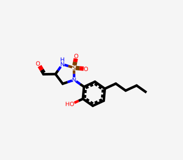 CCCCc1ccc(O)c(N2CC(C=O)NS2(=O)=O)c1